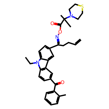 C=CCC/C(=N\OC(=O)C(C)(C)N1CCSCC1)c1ccc2c(c1)c1cc(C(=O)c3ccccc3C)ccc1n2CC